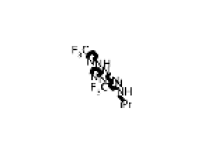 CC(C)CCNc1cc(C(F)(F)F)c(-c2cnc3c(Nc4ccc(C(F)(F)F)cn4)ccnc3n2)nn1